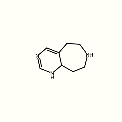 C1=NC=C2CCNCCC2N1